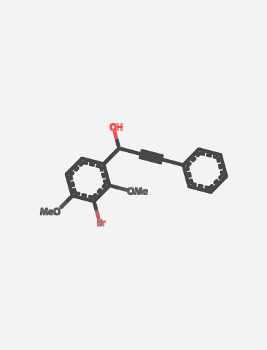 COc1ccc(C(O)C#Cc2ccccc2)c(OC)c1Br